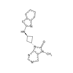 Cn1c(=O)n([C@H]2C[C@H](Nc3nc4ccccc4s3)C2)c2ncncc21